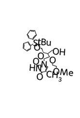 COCCOC1C(CO)[C@H](CO[Si](c2ccccc2)(c2ccccc2)C(C)(C)C)O[C@@H]1n1cc(C)c(=O)[nH]c1=O